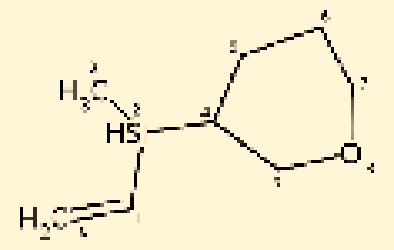 C=C[SiH](C)C1CCCOC1